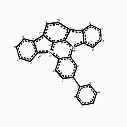 c1ccc(-c2ccc3c(c2)n2c4ccccc4c4ccc5c6ccccc6n3c5c42)cc1